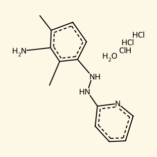 Cc1ccc(NNc2ccccn2)c(C)c1N.Cl.Cl.Cl.O